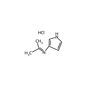 CC(C)=Nc1cc[nH]c1.Cl